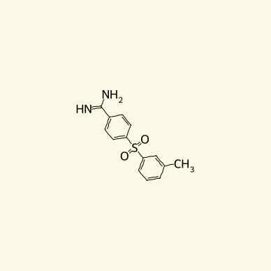 Cc1cccc(S(=O)(=O)c2ccc(C(=N)N)cc2)c1